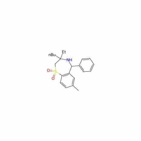 CCCCC1(CC)CS(=O)(=O)c2ccc(C)cc2C(c2ccccc2)N1